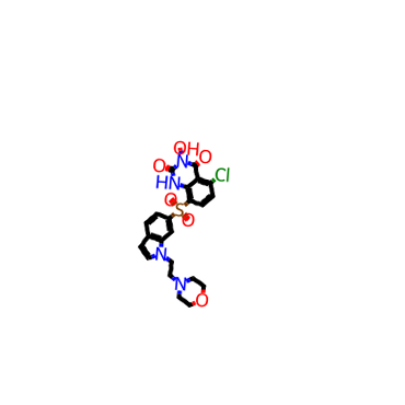 O=c1[nH]c2c(S(=O)(=O)c3ccc4ccn(CCN5CCOCC5)c4c3)ccc(Cl)c2c(=O)n1O